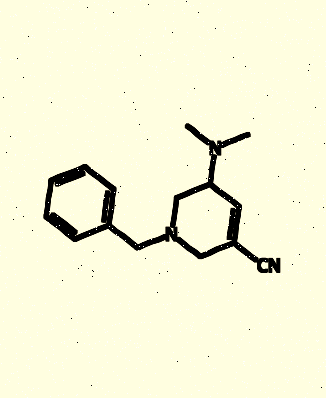 CN(C)C1C=C(C#N)CN(Cc2ccccc2)C1